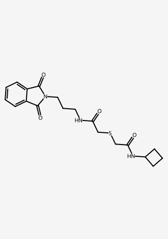 O=C(CSCC(=O)NC1CCC1)NCCCN1C(=O)c2ccccc2C1=O